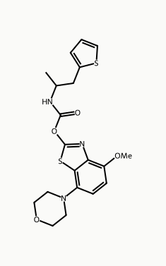 COc1ccc(N2CCOCC2)c2sc(OC(=O)NC(C)Cc3cccs3)nc12